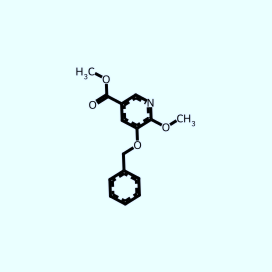 COC(=O)c1cnc(OC)c(OCc2ccccc2)c1